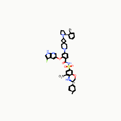 Cc1ccc([C@H]2COc3cc(S(=O)(=O)NC(=O)c4ccc(N5CCC6(CC5)CC(N5CCC[C@H]5c5ccccc5C(C)C)C6)cc4Oc4cnc5[nH]cc(F)c5c4)cc([N+](=O)[O-])c3N2)cc1